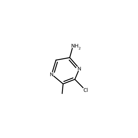 Cc1ncc(N)nc1Cl